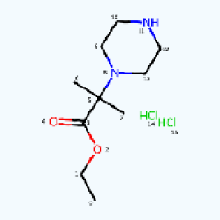 CCOC(=O)C(C)(C)N1CCNCC1.Cl.Cl